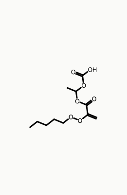 C=C(OOCCCCC)C(=O)OC(C)OC(=O)O